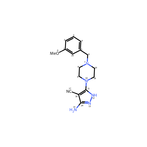 COc1cccc(CN2CCN(c3[nH]nc(N)c3C#N)CC2)c1